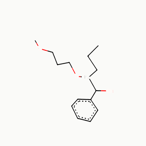 CCC[SiH](OCCCOC)C(O)c1ccccc1